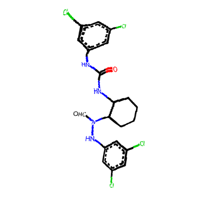 O=CN(Nc1cc(Cl)cc(Cl)c1)C1CCCCC1NC(=O)Nc1cc(Cl)cc(Cl)c1